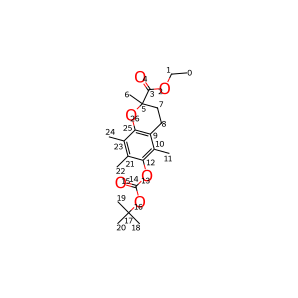 CCOC(=O)C1(C)CCc2c(C)c(OC(=O)OC(C)(C)C)c(C)c(C)c2O1